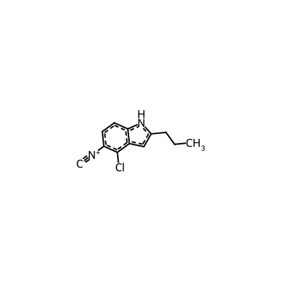 [C-]#[N+]c1ccc2[nH]c(CCC)cc2c1Cl